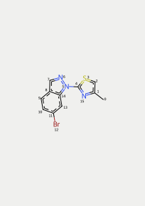 Cc1csc(-n2ncc3ccc(Br)cc32)n1